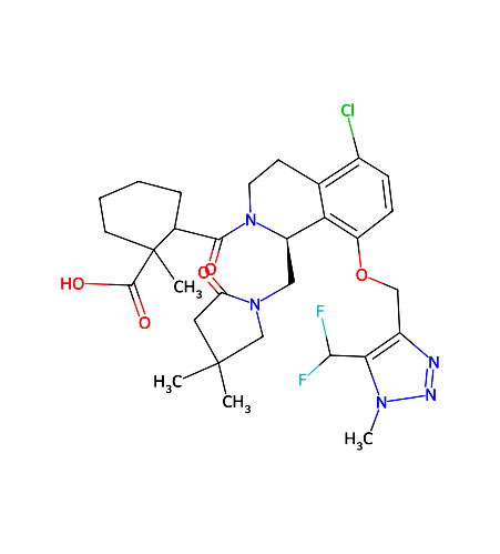 Cn1nnc(COc2ccc(Cl)c3c2[C@@H](CN2CC(C)(C)CC2=O)N(C(=O)C2CCCCC2(C)C(=O)O)CC3)c1C(F)F